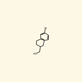 OCC1CCc2cc(Br)ccc2C1